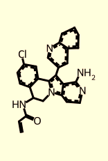 C=CC(=O)NC1Cn2c(c(-c3cnc4ccccc4c3)c3c(N)nccc32)-c2cc(Cl)ccc21